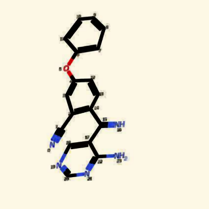 N#Cc1cc(Oc2ccccc2)ccc1C(=N)c1cncnc1N